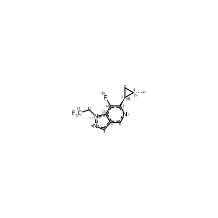 C[C@H]1C[C@@H]1c1ncc2cnn(CC(F)(F)F)c2c1F